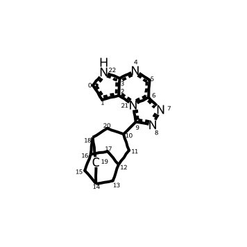 c1cc2c(ncc3nnc(C4CC5CC6CC(C5)C(C6)C4)n32)[nH]1